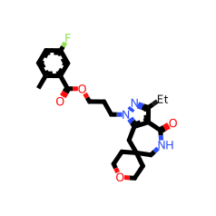 CCc1nn(CCCOC(=O)c2cc(F)ccc2C)c2c1C(=O)NCC1(CCOCC1)C2